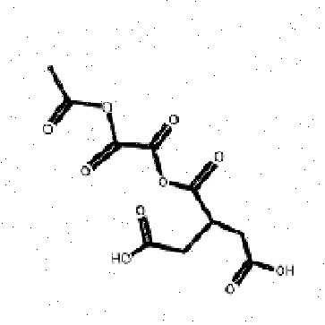 CC(=O)OC(=O)C(=O)OC(=O)C(CC(=O)O)CC(=O)O